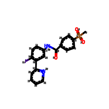 CS(=O)(=O)c1ccc(C(=O)Nc2ccc(I)c(-c3ccccn3)c2)cc1